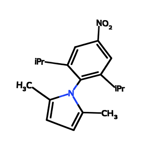 Cc1ccc(C)n1-c1c(C(C)C)cc([N+](=O)[O-])cc1C(C)C